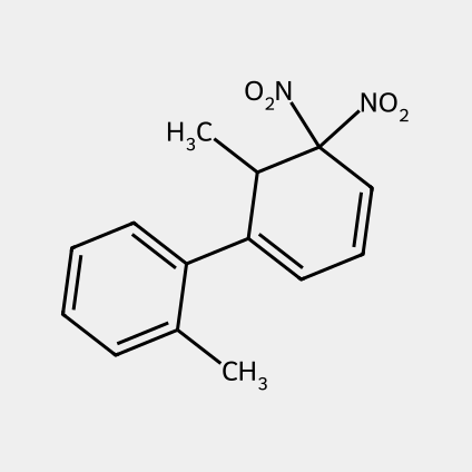 Cc1ccccc1C1=CC=CC([N+](=O)[O-])([N+](=O)[O-])C1C